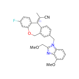 COCc1nc2c(OC)cccc2n1Cc1ccc2c(c1)COc1cc(F)ccc1/C2=C(\C)C#N